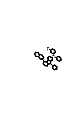 Fc1cccc(N(c2ccccc2)c2ccc3c(c2)C(c2ccccc2)c2cccc(-c4ccc5ccccc5c4)c2-3)c1